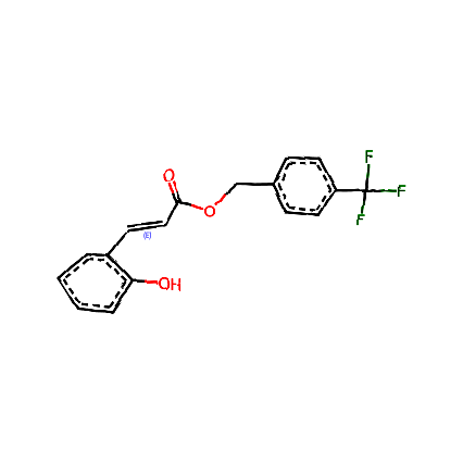 O=C(/C=C/c1ccccc1O)OCc1ccc(C(F)(F)F)cc1